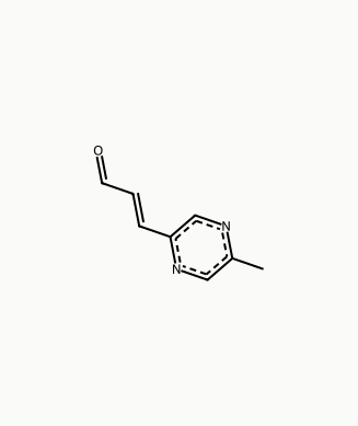 Cc1cnc(C=CC=O)cn1